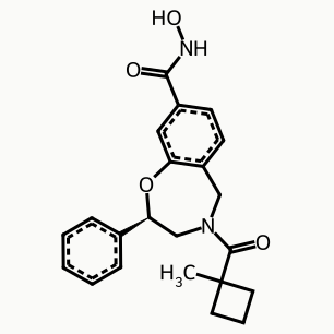 CC1(C(=O)N2Cc3ccc(C(=O)NO)cc3O[C@H](c3ccccc3)C2)CCC1